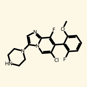 COc1cccc(F)c1-c1c(Cl)cn2c(N3CCNCC3)cnc2c1F